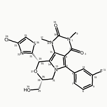 Cn1c(=O)c2c(-c3cccc(F)c3)n3c(c2n(C)c1=O)[C@@H](c1nc(Cl)cs1)O[C@@H](CO)C3